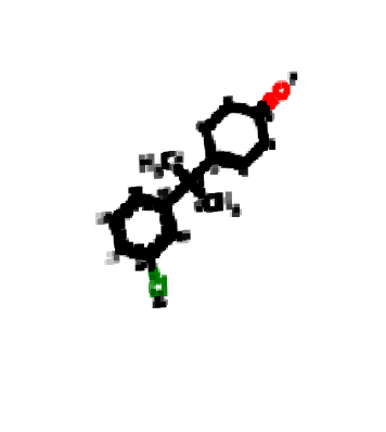 CC(C)(C1=CCC(=O)CC1)c1cccc(Cl)c1